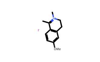 COc1ccc2c(c1)CC[N+](C)=C2C.[I-]